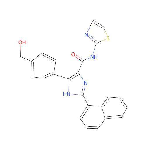 O=C(Nc1nccs1)c1nc(-c2cccc3ccccc23)[nH]c1-c1ccc(CO)cc1